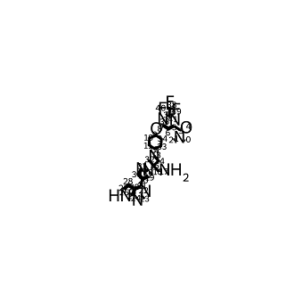 CN(C)C(=O)c1cc(O[C@H]2CC[C@@H](N3CC(CN)(n4cc(-c5ncnc6[nH]ccc56)cn4)C3)CC2)nc(C(F)(F)F)n1